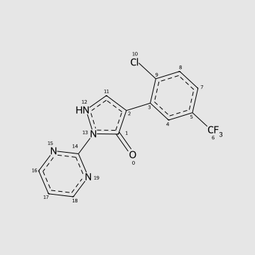 O=c1c(-c2cc(C(F)(F)F)ccc2Cl)c[nH]n1-c1ncccn1